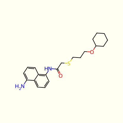 Nc1cccc2c(NC(=O)CSCCCOC3CCCCC3)cccc12